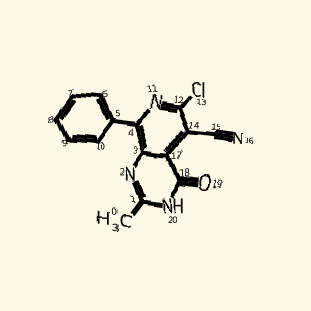 Cc1nc2c(-c3ccccc3)nc(Cl)c(C#N)c2c(=O)[nH]1